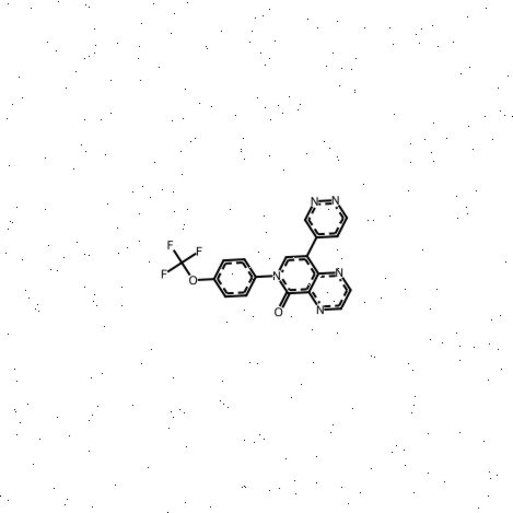 O=c1c2nccnc2c(-c2ccnnc2)cn1-c1ccc(OC(F)(F)F)cc1